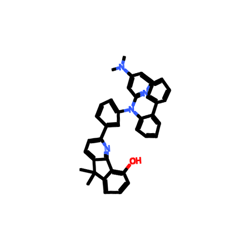 CN(C)c1ccnc(N(c2cccc(-c3ccc4c(n3)-c3c(O)cccc3C4(C)C)c2)c2ccccc2-c2ccccc2)c1